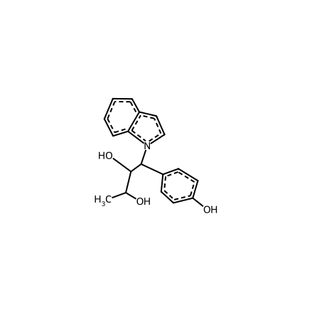 CC(O)C(O)C(c1ccc(O)cc1)n1ccc2ccccc21